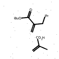 C=C(C)C(=O)O.C=C(CC(C)C)C(=O)OCC(C)C